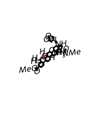 CNC(=O)N[C@@H]1CC[C@]2(NCCN3CCS(=O)(=O)CC3)CC[C@]3(C)[C@H](CC[C@@H]4[C@@]5(C)CC=C(c6ccc(C(=O)OC)cc6)C(C)(C)[C@@H]5CC[C@]43C)[C@@H]12